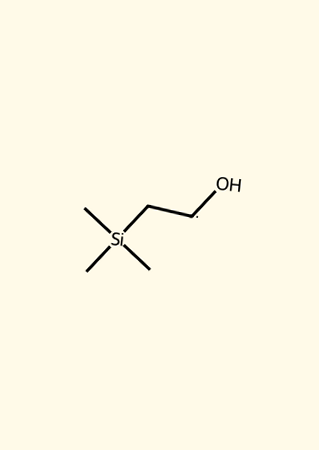 C[Si](C)(C)C[CH]O